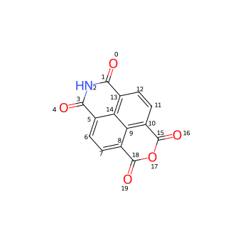 O=C1NC(=O)c2ccc3c4c(ccc1c24)C(=O)OC3=O